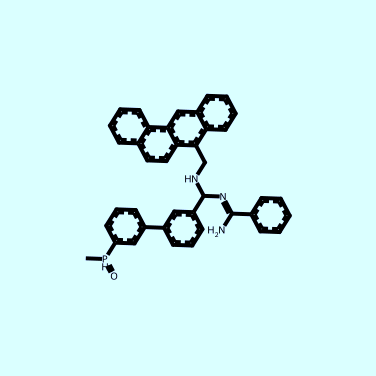 C[PH](=O)c1cccc(-c2cccc(C(/N=C(\N)c3ccccc3)NCc3c4ccccc4cc4c3ccc3ccccc34)c2)c1